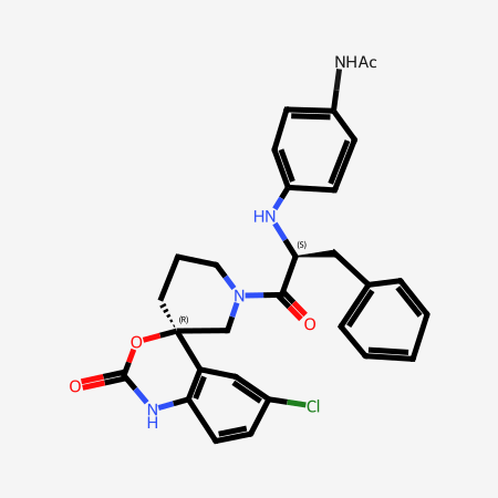 CC(=O)Nc1ccc(N[C@@H](Cc2ccccc2)C(=O)N2CCC[C@@]3(C2)OC(=O)Nc2ccc(Cl)cc23)cc1